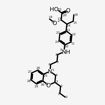 CCCC1CN(CCCNc2ccc(C(CC)[C@H](OC)C(=O)O)cc2)c2ccccc2O1